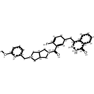 COc1cccc(CN2CC3CN(C(=O)C4=CC(Cc5n[nH]c(=O)c6ccccc56)CC=C4F)CC3C2)n1